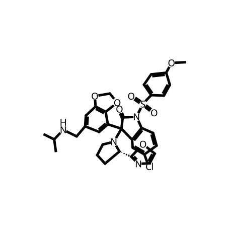 COc1ccc(S(=O)(=O)N2C(=O)C(c3cc(CNC(C)C)cc4c3OCO4)(N3CCC[C@H]3c3ncco3)c3cc(Cl)ccc32)cc1